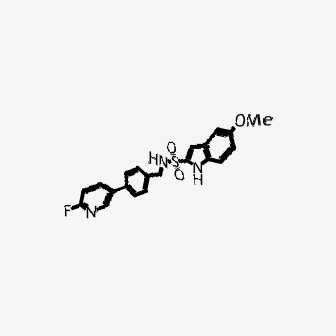 COc1ccc2[nH]c(S(=O)(=O)NCc3ccc(-c4ccc(F)nc4)cc3)cc2c1